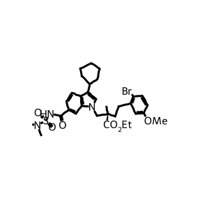 CCOC(=O)[C@@](C)(CCc1cc(OC)ccc1Br)Cn1cc(C2CCCCC2)c2ccc(C(=O)NS(=O)(=O)N(C)C)cc21